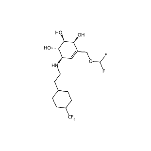 O[C@@H]1[C@@H](O)[C@@H](O)C(COC(F)F)=C[C@H]1NCCC1CCC(C(F)(F)F)CC1